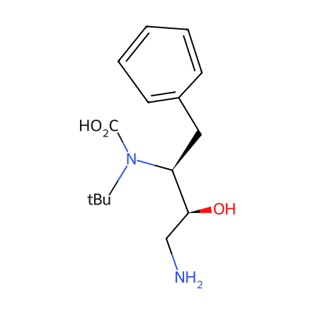 CC(C)(C)N(C(=O)O)[C@@H](Cc1ccccc1)[C@@H](O)CN